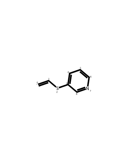 [CH]=CSc1cccnc1